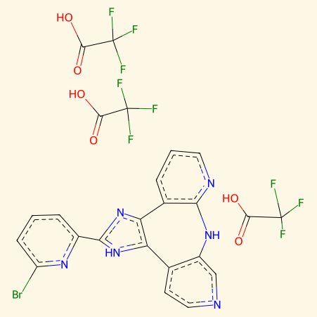 Brc1cccc(-c2nc3c([nH]2)-c2ccncc2Nc2ncccc2-3)n1.O=C(O)C(F)(F)F.O=C(O)C(F)(F)F.O=C(O)C(F)(F)F